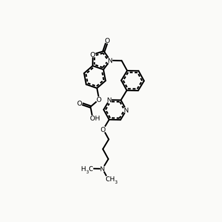 CN(C)CCCOc1cnc(-c2cccc(Cn3c(=O)oc4ccc(OC(=O)O)cc43)c2)nc1